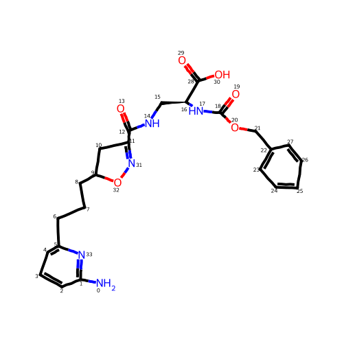 Nc1cccc(CCCC2CC(C(=O)NC[C@H](NC(=O)OCc3ccccc3)C(=O)O)=NO2)n1